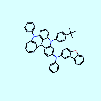 CC(C)(C)c1ccc(N2c3cc(N(c4ccccc4)c4ccc5oc6ccccc6c5c4)ccc3B3c4c(cccc42)N(c2ccccc2)C2=CC3C=CC=C2)cc1